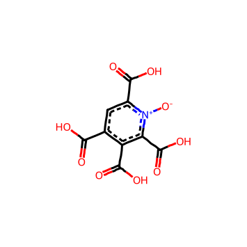 O=C(O)c1cc(C(=O)O)[n+]([O-])c(C(=O)O)c1C(=O)O